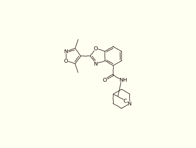 Cc1noc(C)c1-c1nc2c(C(=O)NC3CN4CCC3CC4)cccc2o1